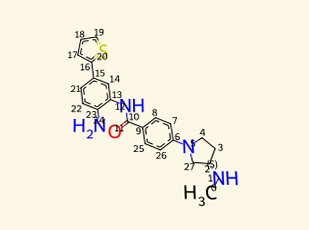 CN[C@H]1CCN(c2ccc(C(=O)Nc3cc(-c4cccs4)ccc3N)cc2)C1